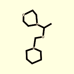 CC(OCN1CCCCC1)N1CCOCC1